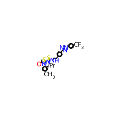 Cc1ccc(N2C(=O)CS/C2=N\C(=S)NCCc2ccc(-c3ncn(-c4ccc(C(F)(F)F)cc4)n3)cc2)c(C(C)C)c1